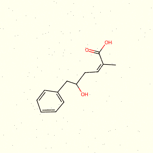 CC(=CCC(O)Cc1ccccc1)C(=O)O